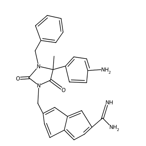 CC1(c2ccc(N)cc2)C(=O)N(Cc2ccc3ccc(C(=N)N)cc3c2)C(=O)N1Cc1ccccc1